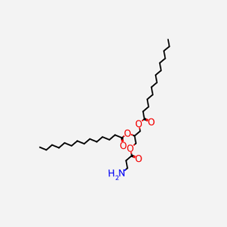 CCCCCCCCCCCCCC(=O)OCC(COC(=O)CCN)OC(=O)CCCCCCCCCCCCC